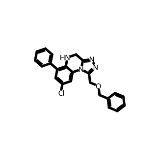 Clc1cc(-c2ccccc2)c2c(c1)-n1c(nnc1COCc1ccccc1)CN2